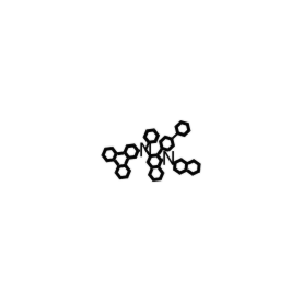 c1ccc(-c2ccc3c4c(N(c5ccccc5)c5ccc6c7ccccc7c7ccccc7c6c5)cc5ccccc5c4n(-c4ccc5ccccc5c4)c3c2)cc1